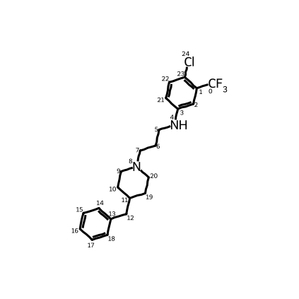 FC(F)(F)c1cc(NCCCN2CCC(Cc3ccccc3)CC2)ccc1Cl